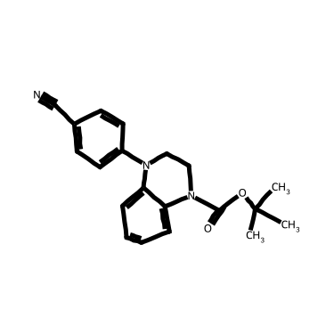 CC(C)(C)OC(=O)N1CCN(c2ccc(C#N)cc2)c2ccccc21